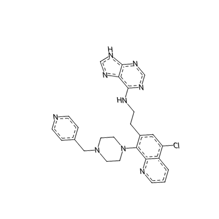 Clc1cc(CCNc2ncnc3[nH]cnc23)c(N2CCN(Cc3ccncc3)CC2)c2ncccc12